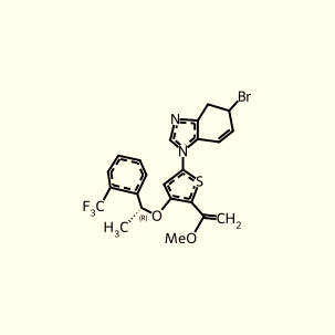 C=C(OC)c1sc(-n2cnc3c2C=CC(Br)C3)cc1O[C@H](C)c1ccccc1C(F)(F)F